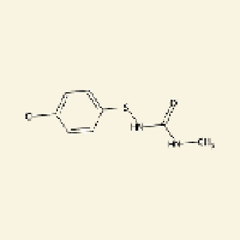 CNC(=O)NSc1ccc(Cl)cc1